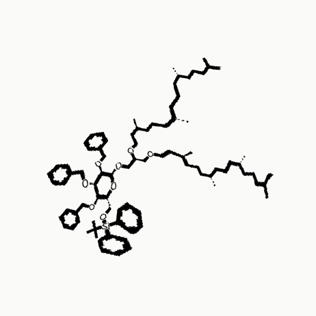 CC(C)CCC[C@@H](C)CCC[C@H](C)CCC[C@H](C)CCOC[C@@H](CO[C@H]1O[C@H](CO[Si](c2ccccc2)(c2ccccc2)C(C)(C)C)[C@@H](OCc2ccccc2)[C@H](OCc2ccccc2)[C@H]1OCc1ccccc1)OCC[C@@H](C)CCC[C@@H](C)CCC[C@H](C)CCCC(C)C